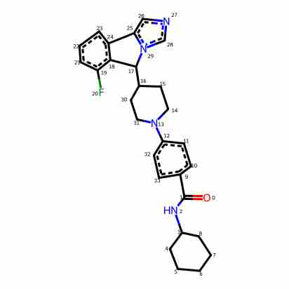 O=C(NC1CCCCC1)c1ccc(N2CCC(C3c4c(F)cccc4-c4cncn43)CC2)cc1